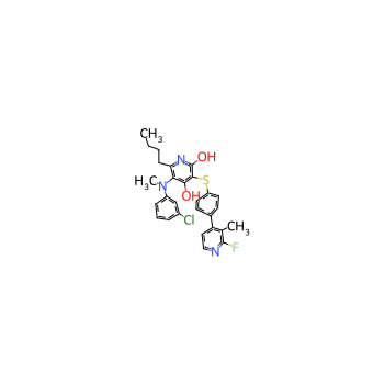 CCCCc1nc(O)c(Sc2ccc(-c3ccnc(F)c3C)cc2)c(O)c1N(C)c1cccc(Cl)c1